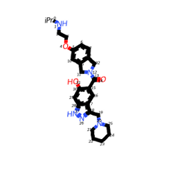 CC(C)NCCOc1ccc2c(c1)CN(C(=O)c1cc3c(CN4CCCCC4)n[nH]c3cc1O)C2